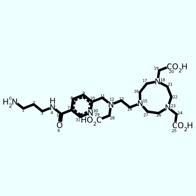 NCCCNC(=O)c1ccc(CN(CCN2CCN(CC(=O)O)CCN(CC(=O)O)CC2)CC(=O)O)nc1